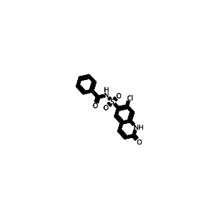 O=C(NS(=O)(=O)c1cc2c[c]c(=O)[nH]c2cc1Cl)c1ccccc1